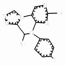 CCC1c2nncn2-c2cnc(Cl)nc2N1c1ccc(F)cc1